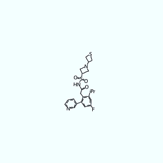 CC(C)c1cc(F)cc(-c2cccnc2)c1CC(=O)NS(=O)(=O)C1CN(C2CSC2)C1